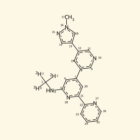 [2H]C([2H])([2H])Nc1cc(-c2cncc(-c3cnn(C)c3)c2)cc(-c2ccccn2)n1